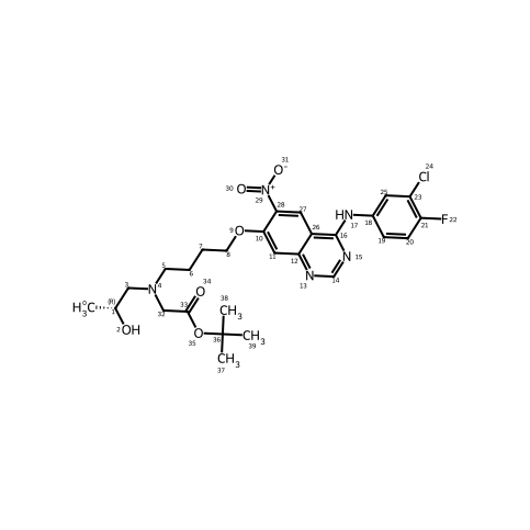 C[C@@H](O)CN(CCCCOc1cc2ncnc(Nc3ccc(F)c(Cl)c3)c2cc1[N+](=O)[O-])CC(=O)OC(C)(C)C